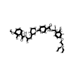 CCN(CC)CCOc1ccc([C@H](C)NC(=O)c2ccc(N3CCCC(CC(C)NC(=O)c4cccc(OC)c4C)C3)nc2)c(F)c1